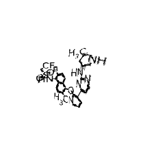 Cc1ccc2c(NS(=O)(=O)CC(F)(F)F)c(F)ccc2c1Oc1ncccc1-c1ccnc(N[C@@H]2CNC[C@H](C)C2)n1